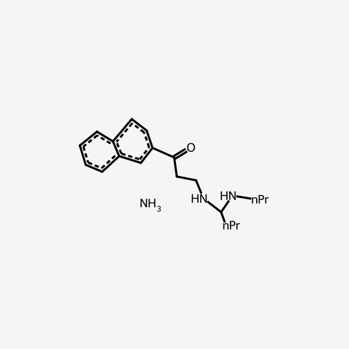 CCCNC(CCC)NCCC(=O)c1ccc2ccccc2c1.N